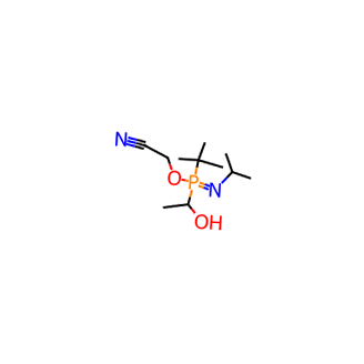 CC(C)N=P(OCC#N)(C(C)O)C(C)(C)C